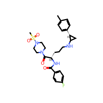 Cc1ccc([C@@H]2CC2NCCC[C@H](NC(=O)c2ccc(F)cc2)C(=O)N2CCN(S(C)(=O)=O)CC2)cc1